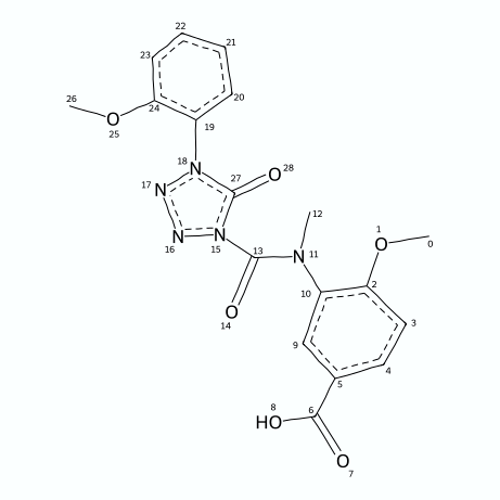 COc1ccc(C(=O)O)cc1N(C)C(=O)n1nnn(-c2ccccc2OC)c1=O